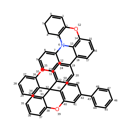 C1=CC2=C(CC1)N(c1ccccc1)c1c(cccc1-c1ccc3c(c1)Oc1ccccc1C31c3ccccc3Oc3cc(-c4ccccc4)ccc31)O2